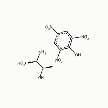 C[C@@H](O)[C@H](N)C(=O)O.O=[N+]([O-])c1cc([N+](=O)[O-])c(O)c([N+](=O)[O-])c1